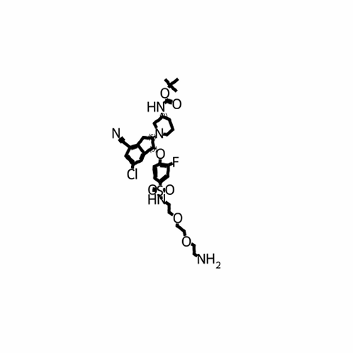 CC(C)(C)OC(=O)N[C@@H]1CCCN([C@H]2Cc3c(C#N)cc(Cl)cc3[C@@H]2Oc2ccc(S(=O)(=O)NCCOCCOCCN)cc2F)C1